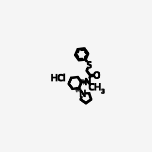 CN(C(=O)CSc1ccccc1)[C@@H]1CCCC[C@H]1N1CCCC1.Cl